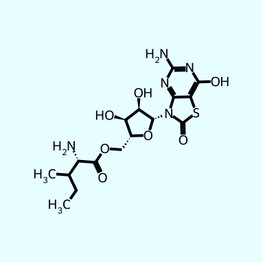 CCC(C)[C@H](N)C(=O)OC[C@H]1O[C@@H](n2c(=O)sc3c(O)nc(N)nc32)[C@H](O)[C@@H]1O